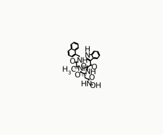 C[C@H](NC(=O)[C@H](CC(=O)NO)NC(=O)C(=O)c1c[nH]c2ccccc12)C(=O)NCc1cccc2ccccc12